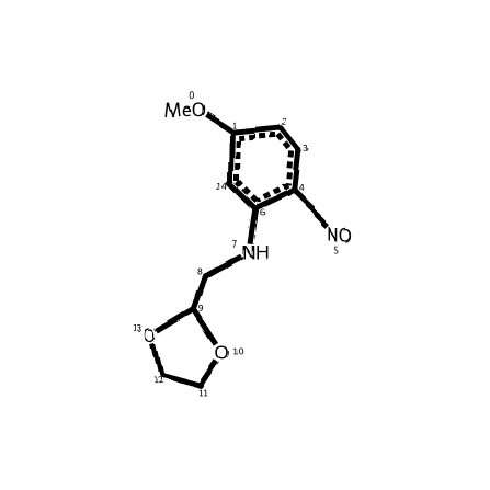 COc1ccc(N=O)c(NCC2OCCO2)c1